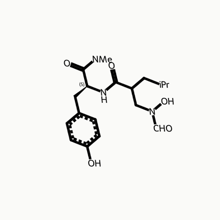 CNC(=O)[C@H](Cc1ccc(O)cc1)NC(=O)C(CC(C)C)CN(O)C=O